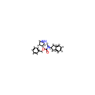 O=C(OCc1ccccc1)N(C[C@@H]1CCCN1)C1Cc2ccccc2C1